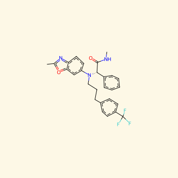 CNC(=O)[C@H](c1ccccc1)N(CCCc1ccc(C(F)(F)F)cc1)c1ccc2nc(C)oc2c1